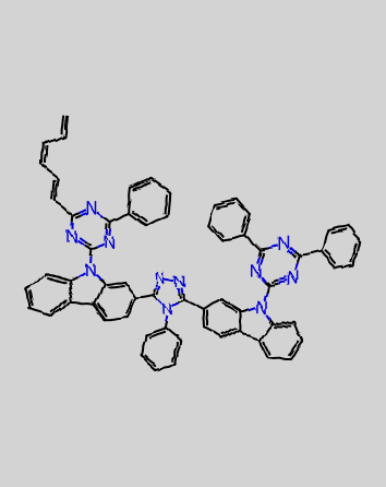 C=C/C=C\C=C\c1nc(-c2ccccc2)nc(-n2c3ccccc3c3ccc(-c4nnc(-c5ccc6c7ccccc7n(-c7nc(-c8ccccc8)nc(-c8ccccc8)n7)c6c5)n4-c4ccccc4)cc32)n1